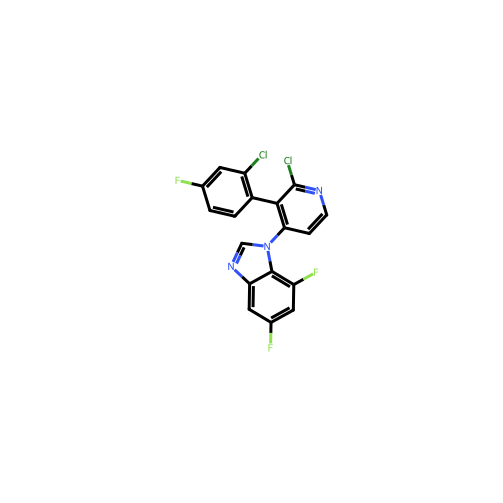 Fc1ccc(-c2c(-n3cnc4cc(F)cc(F)c43)ccnc2Cl)c(Cl)c1